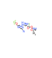 CC1(NC(=O)O[C@H]2CO[C@@H](c3cc(Nc4nc(C#N)cc5nc(COC(F)(F)F)cn45)n[nH]3)[C@H]2F)CC1